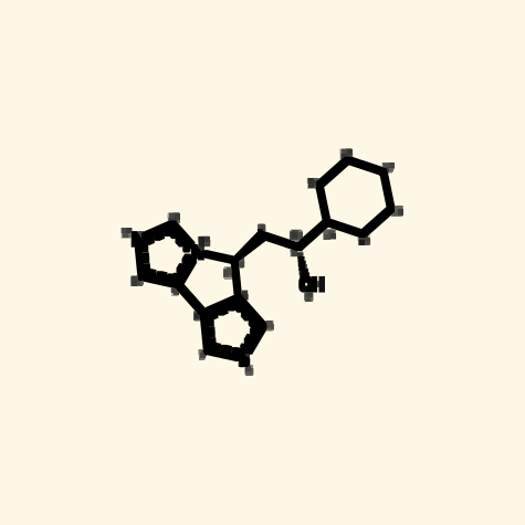 O[C@H](C[C@H]1c2cscc2-c2cncn21)C1CCCCC1